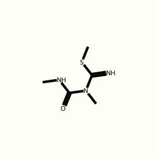 CNC(=O)N(C)C(=N)SC